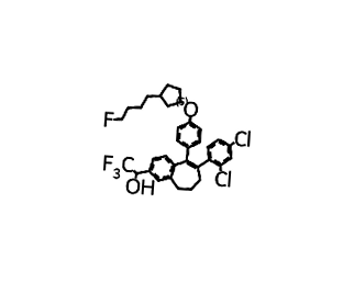 OC(c1ccc2c(c1)CCCC(c1ccc(Cl)cc1Cl)=C2c1ccc(O[C@H]2CCC(CCCCF)C2)cc1)C(F)(F)F